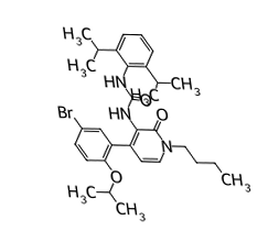 CCCCn1ccc(-c2cc(Br)ccc2OC(C)C)c(NC(=O)Nc2c(C(C)C)cccc2C(C)C)c1=O